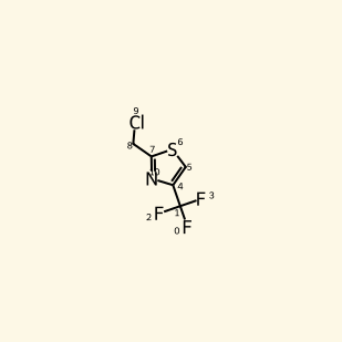 FC(F)(F)c1csc(CCl)n1